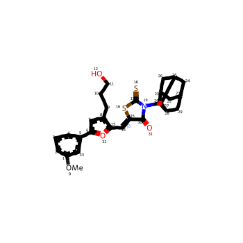 COc1cccc(-c2cc(CCCO)c(/C=C3\SC(=S)N(C4C5CC6CC(C5)CC4C6)C3=O)o2)c1